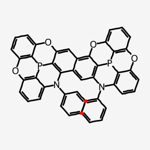 c1ccc(-n2c3cccc4oc5cccc6oc7c8cc9oc%10cccc%11oc%12cccc%13c%12p(c%11%10)c9c(c8cc2c7p(c56)c43)n%13-c2ccccc2)cc1